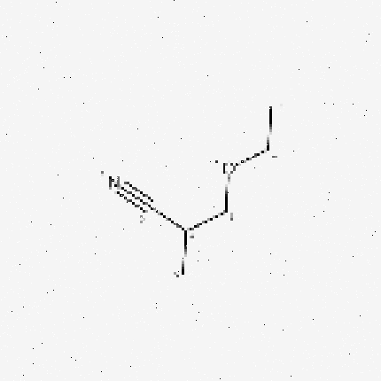 CCOCC(C)C#N